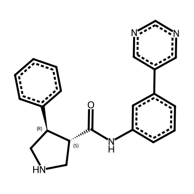 O=C(Nc1cccc(-c2cncnc2)c1)[C@@H]1CNC[C@H]1c1ccccc1